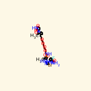 Cc1cc(S(=O)(=O)NCCOCCOCCOCCOCCCc2cccc3c2C(C)C(=O)N3C2CCC(=O)NC2=O)ccc1Nc1ncc(Br)c(Nc2cccc(F)c2C(N)=O)n1